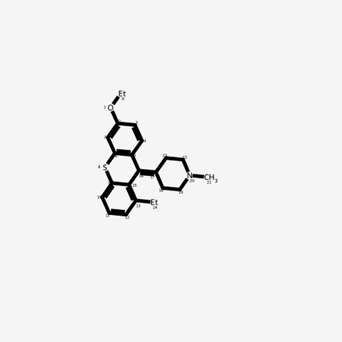 CCOc1ccc2c(c1)Sc1cccc(CC)c1C2=C1CCN(C)CC1